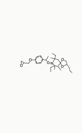 CCCC1COC2(CC(C)(CC)N(OC(C)c3ccc(OCC4CO4)cc3)C(C)(CC)C2C)O1